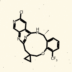 C[C@H]1Nc2nc(nc3cnc(Cl)cc23)CC2(CC2)COc2c1cccc2C(F)(F)F